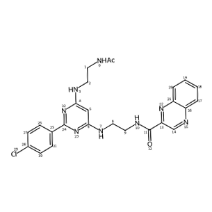 CC(=O)NCCNc1cc(NCCNC(=O)c2cnc3ccccc3n2)nc(-c2ccc(Cl)cc2)n1